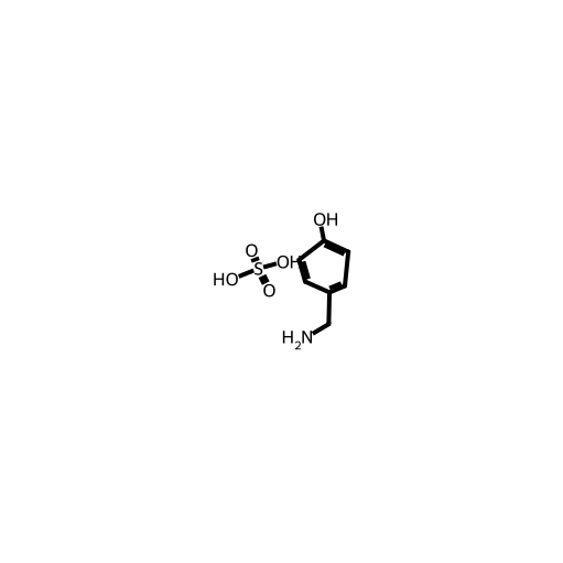 NCc1ccc(O)cc1.O=S(=O)(O)O